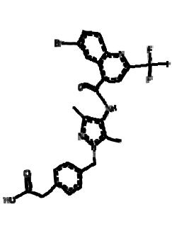 Cc1nn(Cc2ccc(CC(=O)O)cc2)c(C)c1NC(=O)c1cc(C(F)(F)F)nc2ccc(Br)cc12